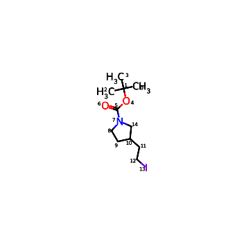 CC(C)(C)OC(=O)N1CCC(CCI)C1